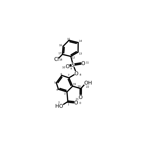 O=C(O)c1cccc(OS(=O)(=O)c2ccccc2Cl)c1C(=O)O